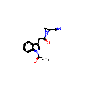 CC(=O)n1cc(CC(=O)N2CC2C#N)c2ccccc21